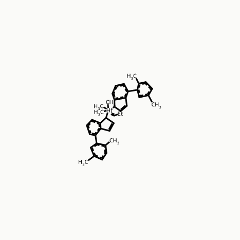 CC[CH]=[Hf]([CH3])([CH3])([CH3])([CH]1C=Cc2c(-c3cc(C)ccc3C)cccc21)[CH]1C=Cc2c(-c3cc(C)ccc3C)cccc21